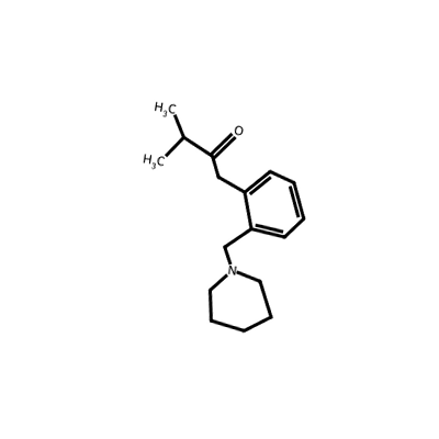 CC(C)C(=O)Cc1ccccc1CN1CCCCC1